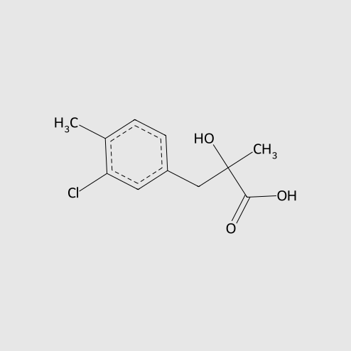 Cc1ccc(CC(C)(O)C(=O)O)cc1Cl